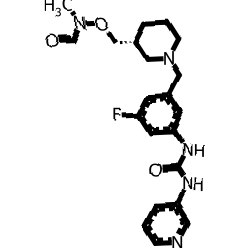 CN(C=O)OC[C@@H]1CCCN(Cc2cc(F)cc(NC(=O)Nc3cccnc3)c2)C1